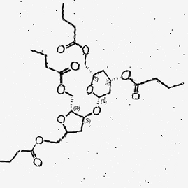 CCCC(=O)OCC1C[C@H](O[C@H]2C[C@@H](OC(=O)CCC)C[C@@H](COC(=O)CCC)O2)[C@@H](COC(=O)CCC)O1